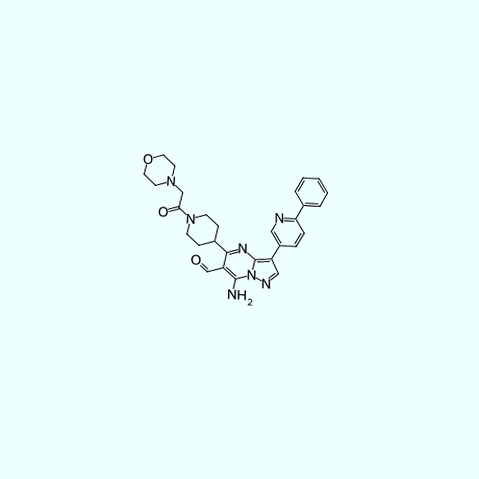 Nc1c(C=O)c(C2CCN(C(=O)CN3CCOCC3)CC2)nc2c(-c3ccc(-c4ccccc4)nc3)cnn12